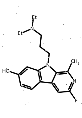 CCN(CC)CCCn1c2cc(O)ccc2c2cc(F)nc(C)c21